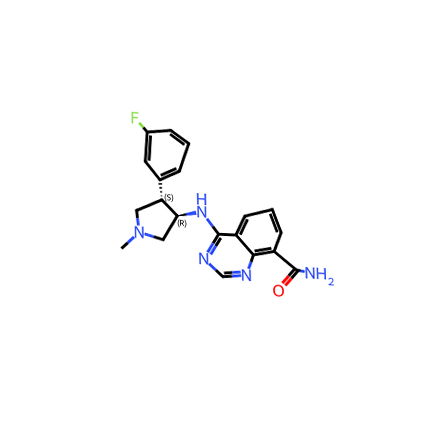 CN1C[C@H](Nc2ncnc3c(C(N)=O)cccc23)[C@@H](c2cccc(F)c2)C1